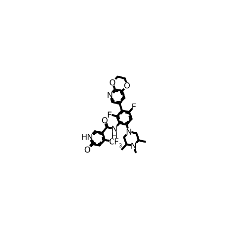 CC1CN(c2cc(F)c(-c3cnc4c(c3)OCCO4)c(F)c2NC(=O)c2c[nH]c(=O)cc2C(F)(F)F)CC(C)N1C